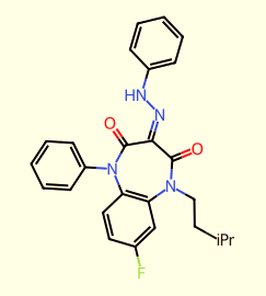 CC(C)CCn1c(=O)/c(=N/Nc2ccccc2)c(=O)n(-c2ccccc2)c2ccc(F)cc21